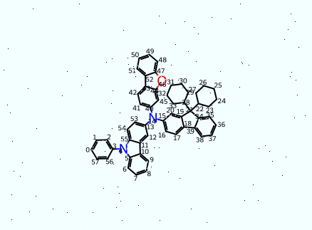 c1ccc(-n2c3ccccc3c3cc(N(c4ccc5c(c4)C(C4CCCCC4)(C4CCCCC4)c4ccccc4-5)c4ccc5c(c4)oc4ccccc45)ccc32)cc1